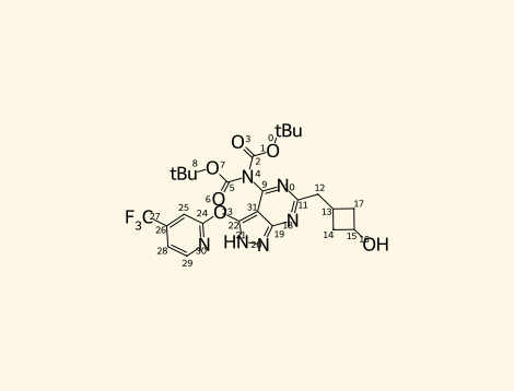 CC(C)(C)OC(=O)N(C(=O)OC(C)(C)C)c1nc(CC2CC(O)C2)nc2n[nH]c(Oc3cc(C(F)(F)F)ccn3)c12